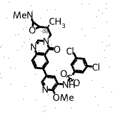 CNC1OC1[C@@H](C)Cn1cnc2ccc(-c3cnc(OC)c(NS(=O)(=O)c4cc(Cl)cc(Cl)c4)c3)cc2c1=O